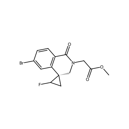 COC(=O)CN1C[C@@]2(CC2F)c2cc(Br)ccc2C1=O